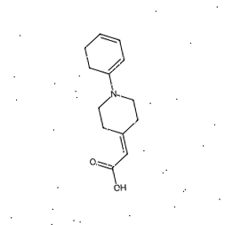 O=C(O)C=C1CCN(C2=CC=CCC2)CC1